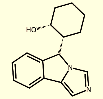 O[C@@H]1CCCC[C@@H]1C1c2ccccc2-c2cncn21